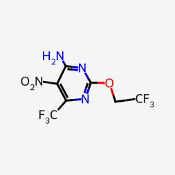 Nc1nc(OCC(F)(F)F)nc(C(F)(F)F)c1[N+](=O)[O-]